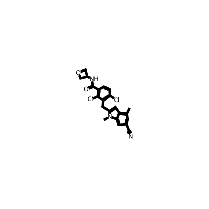 Cc1cc(C#N)cc2c1cc(Cc1c(Cl)ccc(C(=O)NC3COC3)c1Cl)n2C